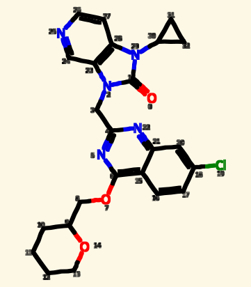 O=c1n(Cc2nc(OCC3CCCCO3)c3ccc(Cl)cc3n2)c2cnccc2n1C1CC1